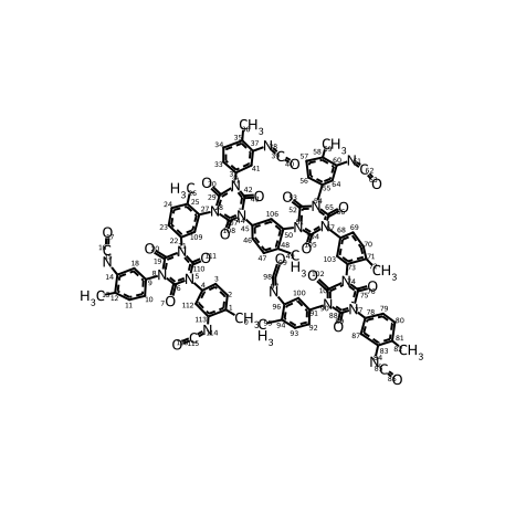 Cc1ccc(-n2c(=O)n(-c3ccc(C)c(N=C=O)c3)c(=O)n(-c3ccc(C)c(-n4c(=O)n(-c5ccc(C)c(N=C=O)c5)c(=O)n(-c5ccc(C)c(-n6c(=O)n(-c7ccc(C)c(N=C=O)c7)c(=O)n(-c7ccc(C)c(-n8c(=O)n(-c9ccc(C)c(N=C=O)c9)c(=O)n(-c9ccc(C)c(N=C=O)c9)c8=O)c7)c6=O)c5)c4=O)c3)c2=O)cc1N=C=O